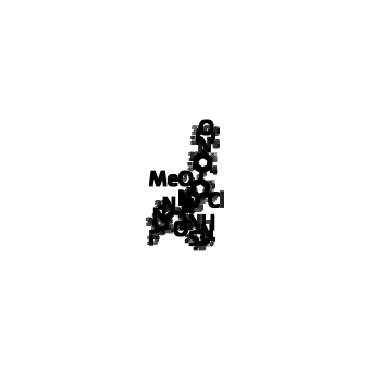 COc1c(-c2ccc(N3CCOCC3)cc2)cc(Cl)c2cn(C(C(=O)Nc3nccs3)c3ncn4c3C[C@@H](F)C4)nc12